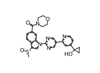 C[S+]([O-])c1cn(-c2ncc(-c3cc(C4(O)CC4)ccn3)cn2)c2cc(C(=O)N3CCOCC3)ccc12